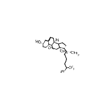 CC(C)C(C)CCC[C@@H](C)[C@H]1CCC2[C@@H]3CC=C4C[C@@H](O)CC[C@]4(C)C3CC[C@@]21C